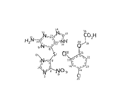 Cn1cnc([N+](=O)[O-])c1Sc1nc(N)nc2nc[nH]c12.O=C(O)COc1ccc(Cl)cc1Cl